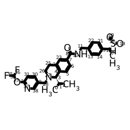 CC(C)[C@H]1c2ccc(C(=O)NCc3ccc(C(C)[SH](=O)=O)cc3)cc2CCN1Cc1ccc(OC(F)F)nc1